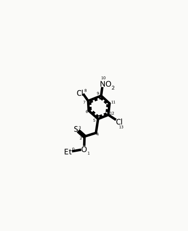 CCOC(=S)Cc1cc(Cl)c([N+](=O)[O-])cc1Cl